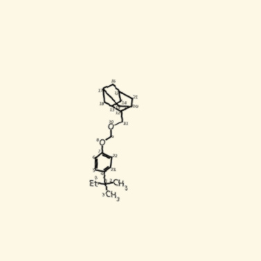 CCC(C)(C)c1ccc(OCOCC2C3CC4CC(C3)CC2C4)cc1